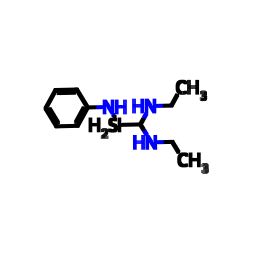 CCNC(NCC)[SiH2]Nc1ccccc1